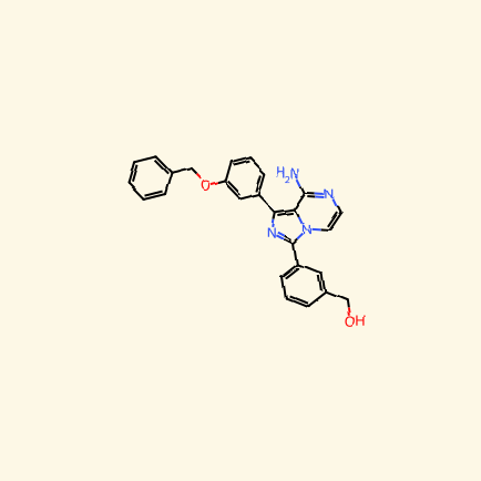 Nc1nccn2c(-c3cccc(CO)c3)nc(-c3cccc(OCc4ccccc4)c3)c12